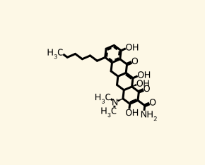 CCCCCCc1ccc(O)c2c1CC1CC3[C@H](N(C)C)C(O)=C(C(N)=O)C(=O)[C@@]3(O)C(O)=C1C2=O